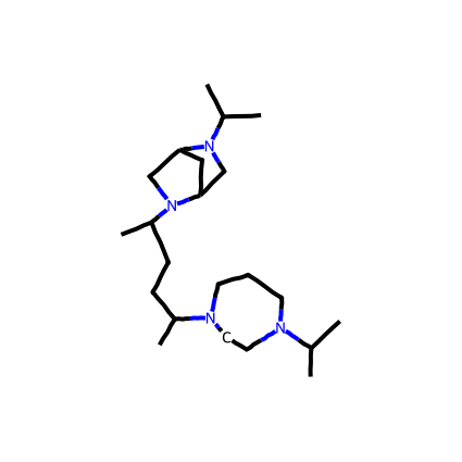 CC(C)N1CCCN(C(C)CCC(C)N2CC3CC2CN3C(C)C)CC1